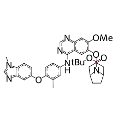 COc1cc2ncnc(Nc3ccc(Oc4ccc5c(c4)ncn5C)c(C)c3)c2cc1OC1CC2CCC(C1)N2C(=O)OC(C)(C)C